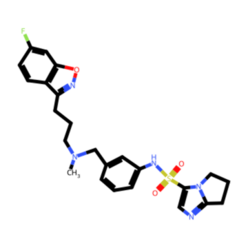 CN(CCCc1noc2cc(F)ccc12)Cc1cccc(NS(=O)(=O)c2cnc3n2CCC3)c1